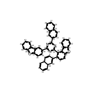 C1=CC2C=CC(c3ccc4oc5ccccc5c4c3-c3nc(-c4ccc5ccccc5c4)nc(-c4ccc5oc6ccccc6c5c4)n3)=CC2C=C1